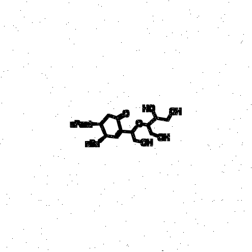 CCCCC[C@H]1CC(=O)C(C(CO)OC(CO)C(O)CO)=C[C@H]1CCCC